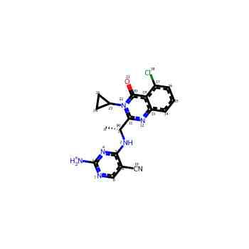 C[C@@H](Nc1nc(N)ncc1C#N)c1nc2cccc(Cl)c2c(=O)n1C1CC1